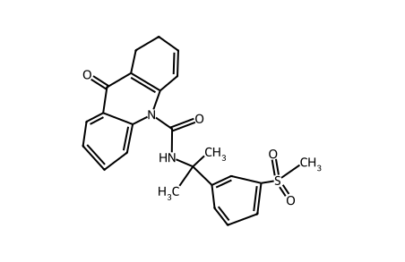 CC(C)(NC(=O)n1c2c(c(=O)c3ccccc31)CCC=C2)c1cccc(S(C)(=O)=O)c1